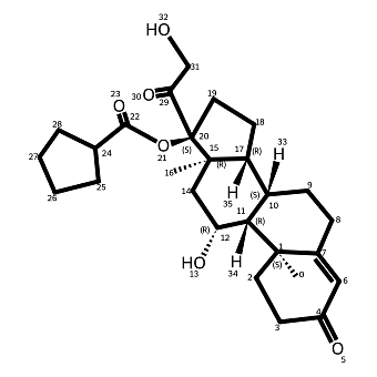 C[C@@]12CCC(=O)C=C1CC[C@@H]1[C@H]2[C@H](O)C[C@]2(C)[C@@H]1CC[C@@]2(OC(=O)C1CCCC1)C(=O)CO